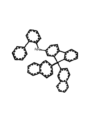 c1ccc(-c2ccccc2Nc2ccc3c(c2)C(c2ccc4ccccc4c2)(c2ccc4ccccc4c2)c2ccccc2-3)cc1